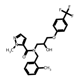 Cc1ccccc1CN(CC(O)COc1ccc(C(F)(F)F)cc1)C(=O)c1ccnn1C